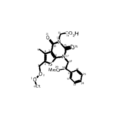 CCOOCc1sc2c(c1C)c(=O)n(CC(=O)O)c(=O)n2C[C@H](OC)c1ccccc1